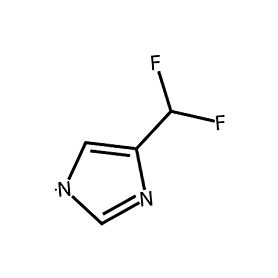 FC(F)C1=C[N]C=N1